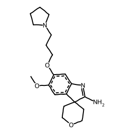 COc1cc2c(cc1OCCCN1CCCC1)N=C(N)C21CCOCC1